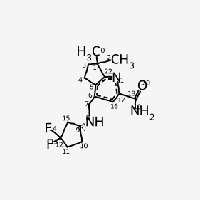 CC1(C)CCc2c(CN[C@@H]3CCC(F)(F)C3)cc(C(N)=O)nc21